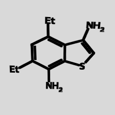 CCc1cc(CC)c2c(N)csc2c1N